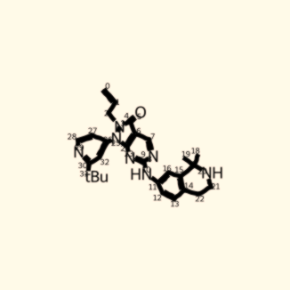 C=CCn1c(=O)c2cnc(Nc3ccc4c(c3)C(C)(C)NCC4)nc2n1-c1ccnc(C(C)(C)C)c1